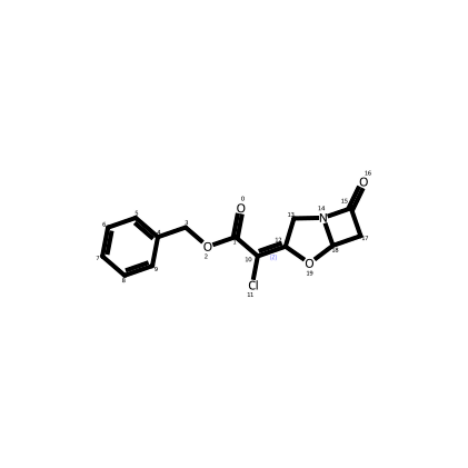 O=C(OCc1ccccc1)/C(Cl)=C1\CN2C(=O)CC2O1